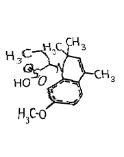 CCC(N1c2cc(OC)ccc2C(C)=CC1(C)C)S(=O)(=O)O